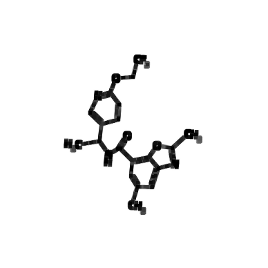 Cc1cc(C(=O)NC(C)c2ccc(OCC(F)(F)F)nc2)c2oc(C)nc2c1